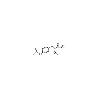 COC(=Cc1ccc(OC(C)=O)cc1)NC=O